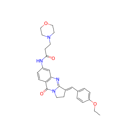 CCOc1ccc(C=C2CCn3c2nc2cc(NC(=O)CCN4CCOCC4)ccc2c3=O)cc1